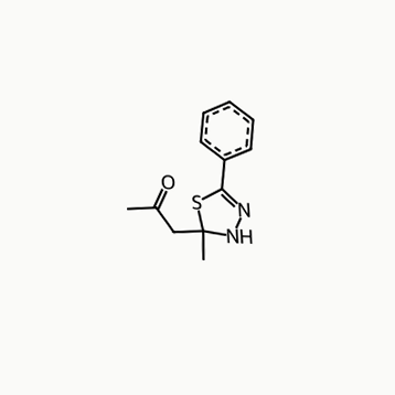 CC(=O)CC1(C)NN=C(c2ccccc2)S1